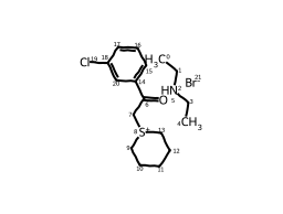 CCNCC.O=C(C[S+]1CCCCC1)c1cccc(Cl)c1.[Br-]